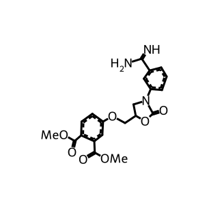 COC(=O)c1ccc(OCC2CN(c3cccc(C(=N)N)c3)C(=O)O2)cc1C(=O)OC